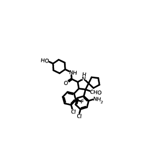 Nc1cc(Cl)ccc1C1(C=O)C(c2cccc(Cl)c2F)C(C(=O)NC2CCC(O)CC2)NC12CCCC2